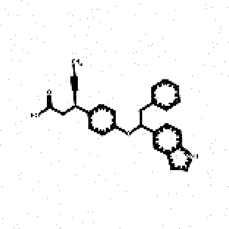 CC#CC(CC(=O)O)c1ccc(OC(Cc2ccccc2)c2ccc3[nH]ccc3c2)cc1